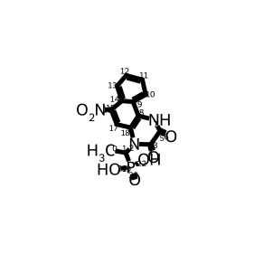 CC(n1c(=O)c(=O)[nH]c2c3ccccc3c([N+](=O)[O-])cc21)P(=O)(O)O